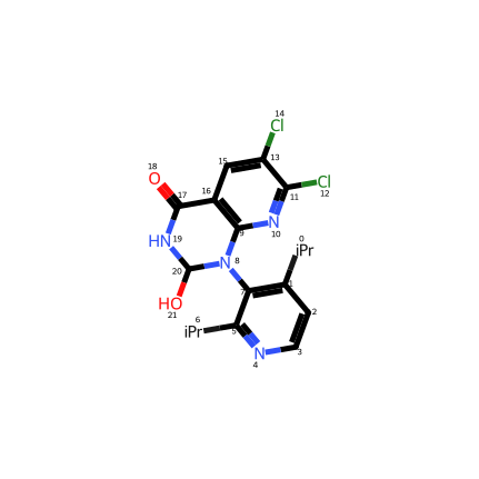 CC(C)c1ccnc(C(C)C)c1N1c2nc(Cl)c(Cl)cc2C(=O)NC1O